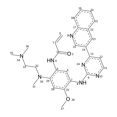 C=CC(=O)Nc1cc(Nc2nccc(-c3cnc4ccccc4c3)n2)c(OC)cc1N(C)CCN(C)C